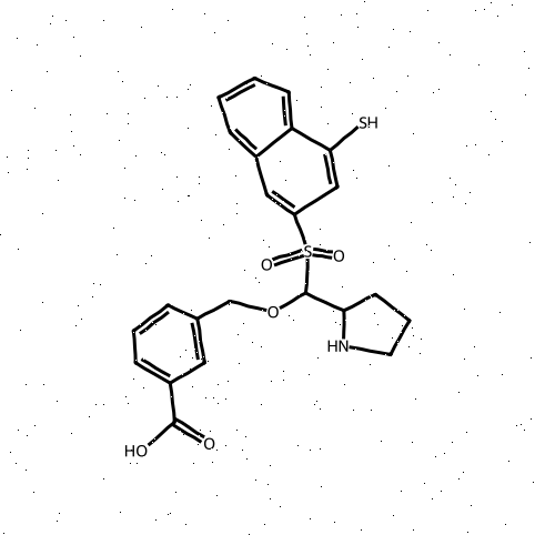 O=C(O)c1cccc(COC(C2CCCN2)S(=O)(=O)c2cc(S)c3ccccc3c2)c1